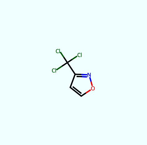 ClC(Cl)(Cl)c1ccon1